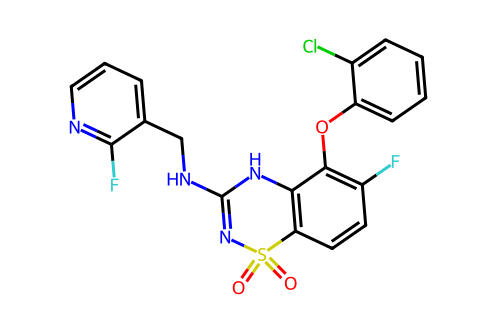 O=S1(=O)N=C(NCc2cccnc2F)Nc2c1ccc(F)c2Oc1ccccc1Cl